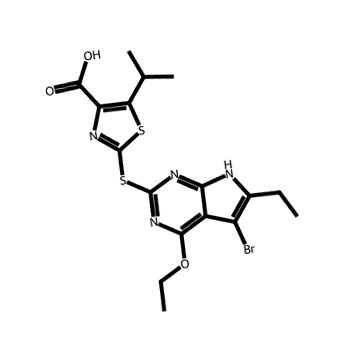 CCOc1nc(Sc2nc(C(=O)O)c(C(C)C)s2)nc2[nH]c(CC)c(Br)c12